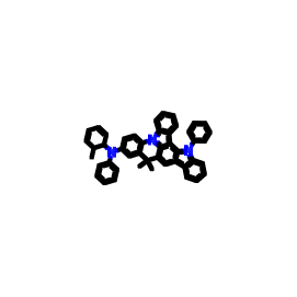 CC1C=CC=CC1N(c1ccccc1)c1ccc2c(c1)C(C)(C)c1cc3c4ccccc4n(-c4ccccc4)c3c3c4ccccc4n-2c13